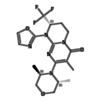 Cc1c(N2[C@H](C)COC[C@H]2C)nc2n(c1=O)CC[C@@H](C(F)(F)F)N2c1ncco1